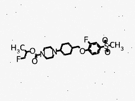 CC(CF)OC(=O)N1CCN(C2CCC(COc3ccc(S(C)(=O)=O)cc3F)CC2)CC1